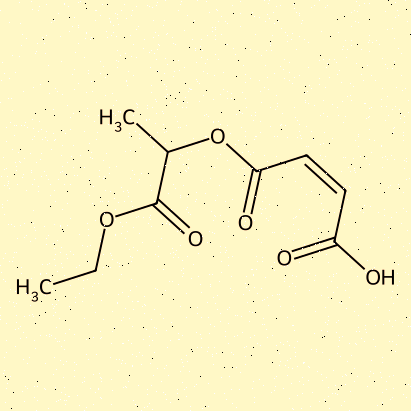 CCOC(=O)C(C)OC(=O)/C=C\C(=O)O